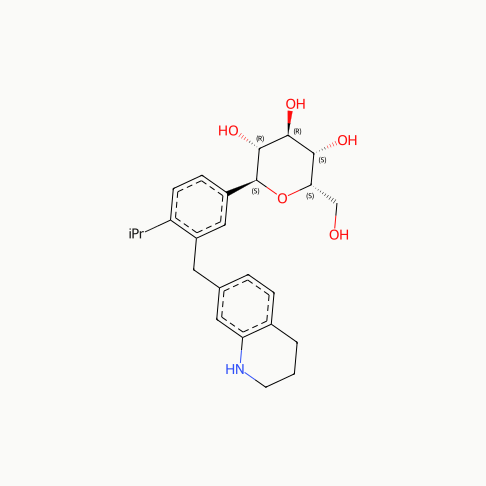 CC(C)c1ccc([C@@H]2O[C@@H](CO)[C@@H](O)[C@H](O)[C@H]2O)cc1Cc1ccc2c(c1)NCCC2